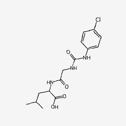 CC(C)CC(NC(=O)CNC(=O)Nc1ccc(Cl)cc1)C(=O)O